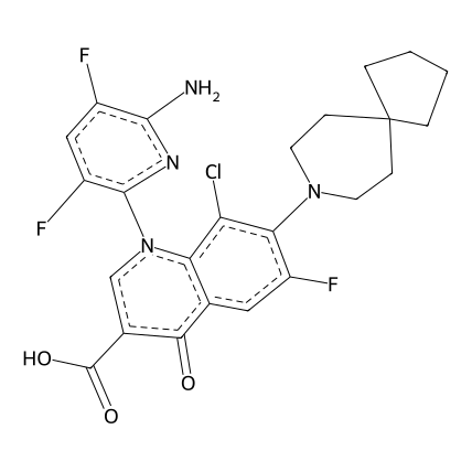 Nc1nc(-n2cc(C(=O)O)c(=O)c3cc(F)c(N4CCC5(CCCC5)CC4)c(Cl)c32)c(F)cc1F